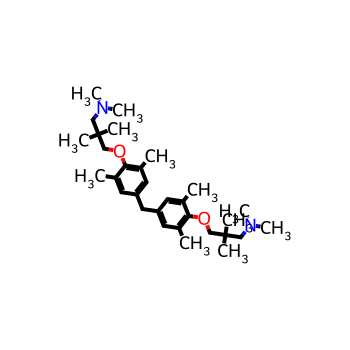 Cc1cc(Cc2cc(C)c(OCC(C)(C)CN(C)C)c(C)c2)cc(C)c1OCC(C)(C)CN(C)C